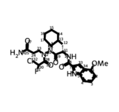 COc1cccc2[nH]c(C(=O)N[C@@H](CC3CCCCC3)C(=O)NN(CCC(N)=O)C(=O)C(F)Cl)cc12